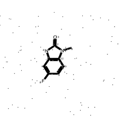 CN1C(=O)[N]c2cc(F)ccc21